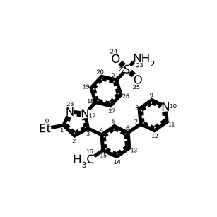 CCc1cc(-c2cc(-c3ccncc3)ccc2C)n(-c2ccc(S(N)(=O)=O)cc2)n1